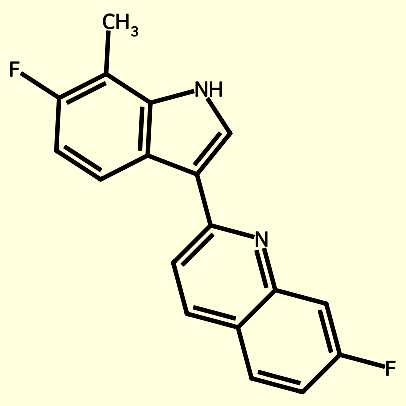 Cc1c(F)ccc2c(-c3ccc4ccc(F)cc4n3)c[nH]c12